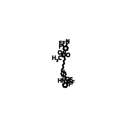 CC1=C(CCCCCCN2CCN(C(=O)Nc3ccccc3OC(F)(F)F)CC2)C(=O)N(c2ccc(C#N)c(C(F)(F)F)c2)C1=O